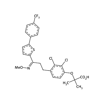 CON=C(CCc1ccc(OC(C)(C)C(=O)O)c(Cl)c1Cl)c1ccc(-c2ccc(C(F)(F)F)cc2)s1